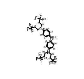 FC(F)(F)CCN(CCC(F)(F)F)c1ccc(Nc2ccc(N(CCC(F)(F)F)CCC(F)(F)F)cc2)cc1